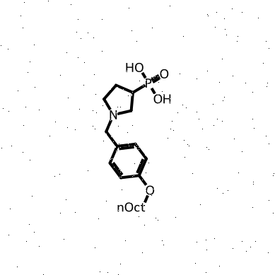 CCCCCCCCOc1ccc(CN2CCC(P(=O)(O)O)C2)cc1